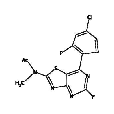 CC(=O)N(C)c1nc2nc(F)nc(-c3ccc(Cl)cc3F)c2s1